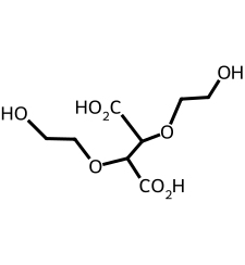 O=C(O)C(OCCO)C(OCCO)C(=O)O